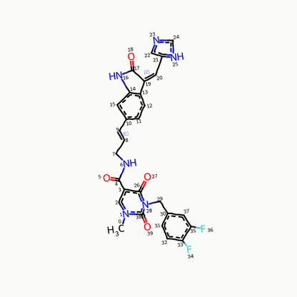 Cn1cc(C(=O)NC/C=C/c2ccc3c(c2)NC(=O)/C3=C\c2cnc[nH]2)c(=O)n(Cc2ccc(F)c(F)c2)c1=O